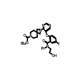 CC(C)N(CCO)C(=O)c1cc(F)ccc1Oc1cncnc1N1CC2(CCN(C(=O)OC(C)(C)C)CC2)C1